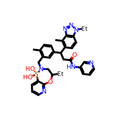 CCC1CN(Cc2cc(C(CC(=O)Nc3cccnc3)c3ccc4c(nnn4CC)c3C)ccc2C)S(O)(O)c2cccnc2O1